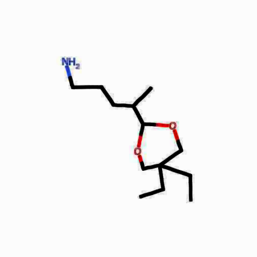 CCC1(CC)COC(C(C)CCCN)OC1